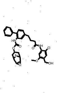 COc1cc(NC(=O)CCCc2ccc(-c3ccccc3)c(NC(=O)OC3CC4C5OC5C(C3)N4C)c2)c(Cl)cc1CO